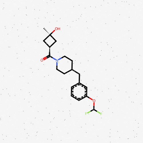 C[C@]1(O)C[C@@H](C(=O)N2CCC(Cc3cccc(OC(F)F)c3)CC2)C1